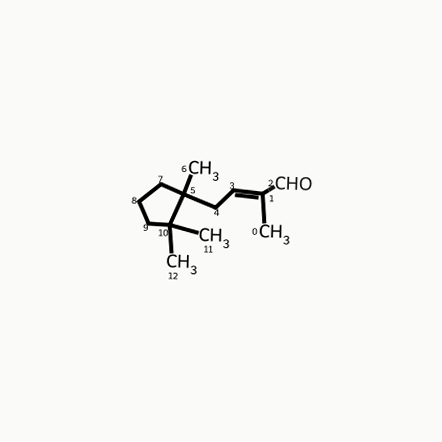 C/C(C=O)=C\CC1(C)CCCC1(C)C